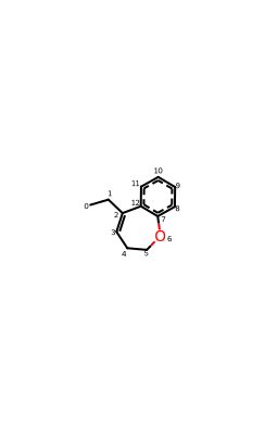 CCC1=CCCOc2ccccc21